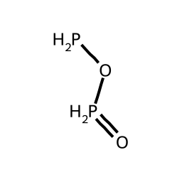 O=[PH2]OP